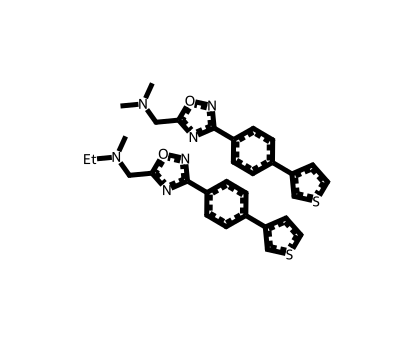 CCN(C)Cc1nc(-c2ccc(-c3ccsc3)cc2)no1.CN(C)Cc1nc(-c2ccc(-c3ccsc3)cc2)no1